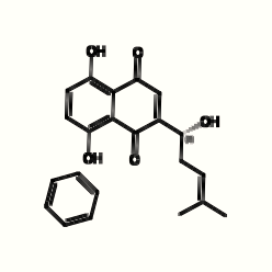 CC(C)=CC[C@@H](O)C1=CC(=O)c2c(O)ccc(O)c2C1=O.c1ccccc1